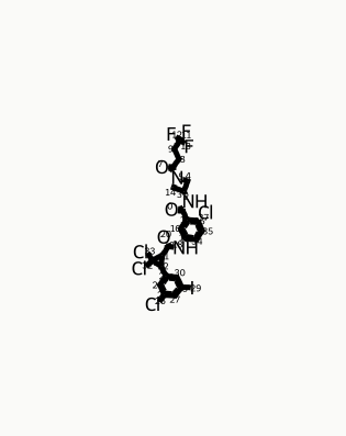 O=C(NC1CN(C(=O)CCC(F)(F)F)C1)c1cc(NC(=O)C2C(c3cc(Cl)cc(I)c3)C2(Cl)Cl)ccc1Cl